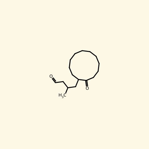 CC(CC=O)CC1CCCCCCCCCCC1=O